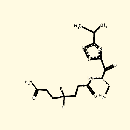 CC[C@H](NC(=O)[CH]CC(F)(F)CCC(N)=O)C(=O)c1nc(C(C)C)no1